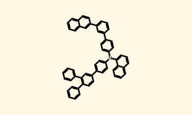 c1ccc(-c2ccc(-c3ccc(N(c4ccc(-c5cccc(-c6ccc7ccccc7c6)c5)cc4)c4cccc5ccccc45)cc3)cc2-c2ccccc2)cc1